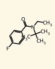 CCN(C(=O)c1ccc(F)cc1)C(C)(C)C